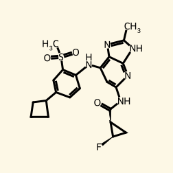 Cc1nc2c(Nc3ccc(C4CCC4)cc3S(C)(=O)=O)cc(NC(=O)[C@H]3C[C@H]3F)nc2[nH]1